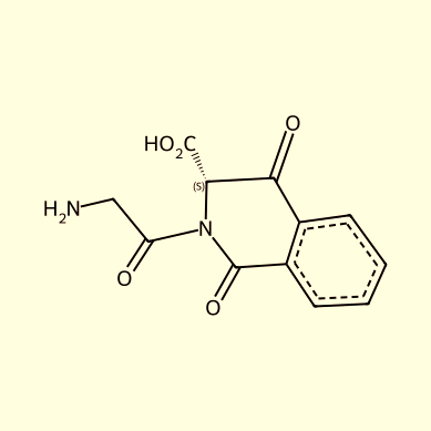 NCC(=O)N1C(=O)c2ccccc2C(=O)[C@H]1C(=O)O